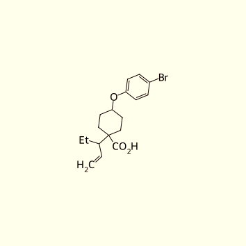 C=CC(CC)C1(C(=O)O)CCC(Oc2ccc(Br)cc2)CC1